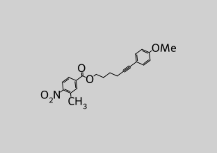 COc1ccc(C#CCCCCOC(=O)c2ccc([N+](=O)[O-])c(C)c2)cc1